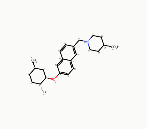 CC(C)[C@@H]1CC[C@@H](C)C[C@H]1Oc1ccc2cc(CN3CCC(C(=O)O)CC3)ccc2c1